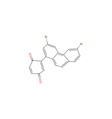 O=C1C=CC(=O)C(c2cc(Br)cc3c2ccc2ccc(Br)cc23)=C1